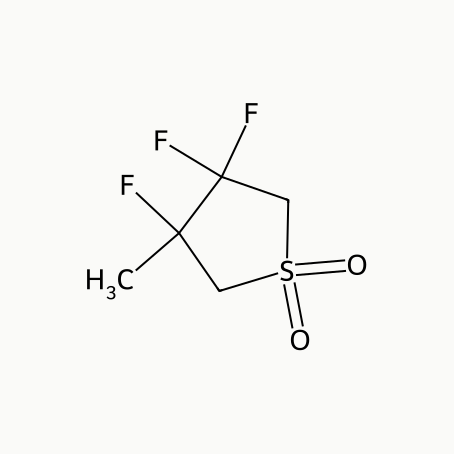 CC1(F)CS(=O)(=O)CC1(F)F